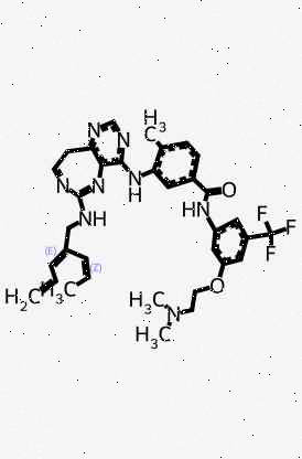 C=C/C=C(\C=C/C)CNC1=Nc2c(ncnc2Nc2cc(C(=O)Nc3cc(OCCN(C)C)cc(C(F)(F)F)c3)ccc2C)CC=N1